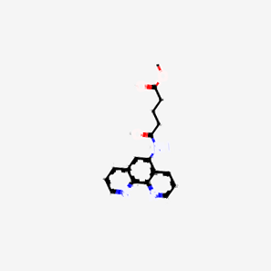 COC(=O)CCCC(=O)Nc1cc2cccnc2c2ncccc12